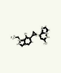 Fc1c(C2C[C@@H]2c2cc(Cl)nn3ccnc23)ccc2cnn(CC(F)(F)F)c12